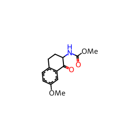 COC(=O)NC1CCc2ccc(OC)cc2C1=O